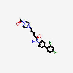 CC(=O)N1CCN(CCCCC(=O)Nc2ccc(-c3ccc(F)cc3F)cc2)CC1